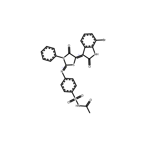 CC(=O)NS(=O)(=O)c1ccc(/N=C2\S/C(=C3\C(=O)Nc4c(Br)cccc43)C(=O)N2c2ccccc2)cc1